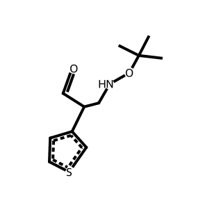 CC(C)(C)ONCC(C=O)c1ccsc1